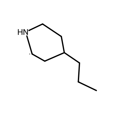 CCCC1C[CH]NCC1